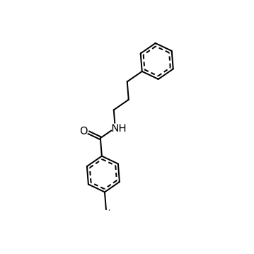 [CH2]c1ccc(C(=O)NCCCc2ccccc2)cc1